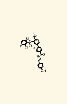 CC(Oc1cc(-c2ccc(C(=O)NCCc3ccc(O)cc3)cc2)cnc1N)c1c(Cl)ccc(F)c1Cl